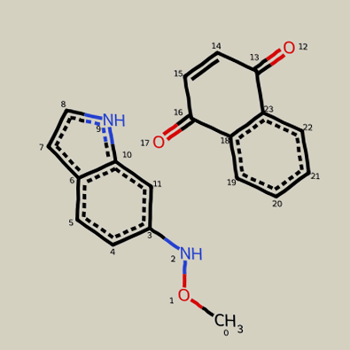 CONc1ccc2cc[nH]c2c1.O=C1C=CC(=O)c2ccccc21